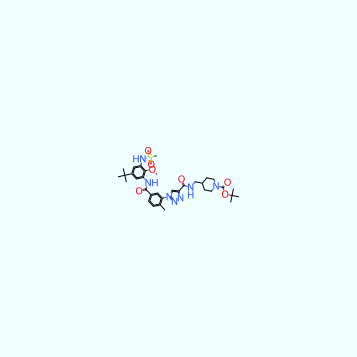 COc1c(NC(=O)c2ccc(C)c(-n3cc(C(=O)NCC4CCN(C(=O)OC(C)(C)C)CC4)nn3)c2)cc(C(C)(C)C)cc1NS(C)(=O)=O